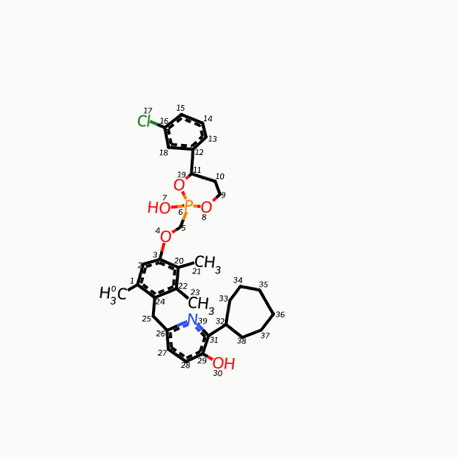 Cc1cc(OC[P]2(O)OCCC(c3cccc(Cl)c3)O2)c(C)c(C)c1Cc1ccc(O)c(C2CCCCCC2)n1